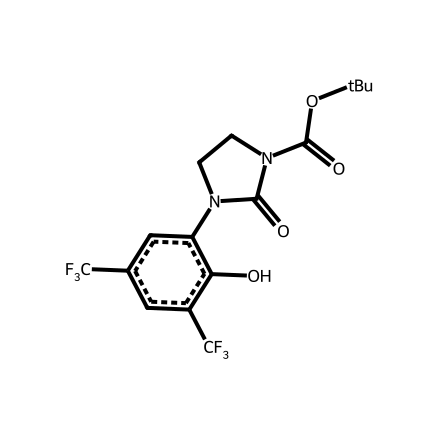 CC(C)(C)OC(=O)N1CCN(c2cc(C(F)(F)F)cc(C(F)(F)F)c2O)C1=O